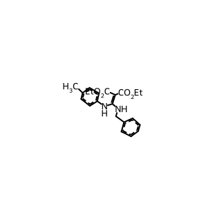 CCOC(=O)C(C(=O)OCC)=C(NCc1ccccc1)Nc1ccc(C)cc1